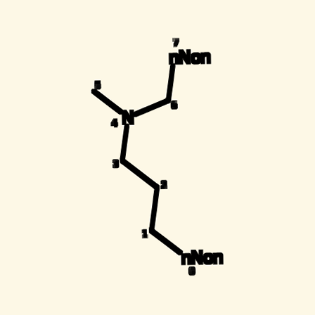 CCCCCCCCCCCCN(C)CCCCCCCCCC